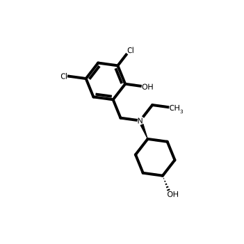 CCN(Cc1cc(Cl)cc(Cl)c1O)[C@H]1CC[C@H](O)CC1